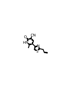 C=CCc1nc(-c2cc(C#N)c(=O)[nH]c2C)cs1